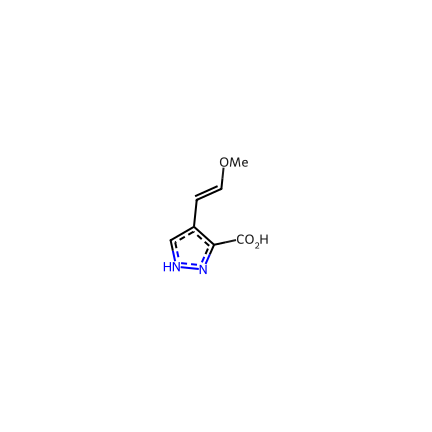 COC=Cc1c[nH]nc1C(=O)O